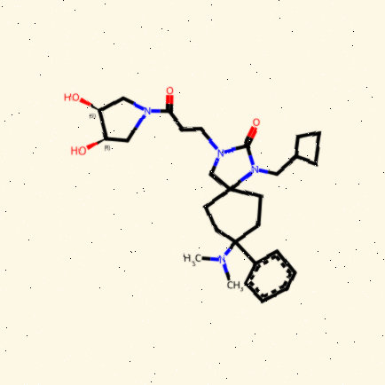 CN(C)C1(c2ccccc2)CCC2(CC1)CN(CCC(=O)N1C[C@@H](O)[C@@H](O)C1)C(=O)N2CC1CCC1